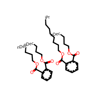 CCCCCCCCCCCCCOC(=O)c1ccccc1C(=O)OCCCCCCCC(C)C.CCCCCCCCCCCCCOC(=O)c1ccccc1C(=O)OCCCCCCCCCCCCC